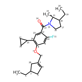 CCC1CC=C(COc2cc(F)c(C(=O)N3CCC(CC)[C@@H]3C)cc2C2CC2)C1